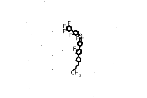 CCCCCC1CCC(c2ccc(-c3ccc(C(F)(F)Oc4ccc(-c5cc(F)c(F)c(F)c5)c(F)c4)cc3)c(F)c2)CC1